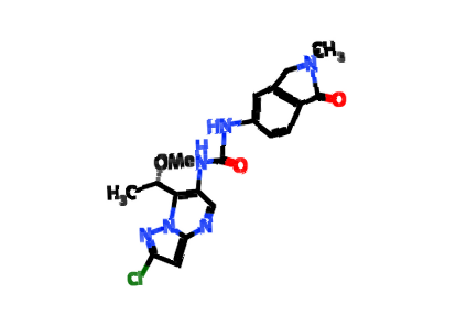 CO[C@@H](C)c1c(NC(=O)Nc2ccc3c(c2)CN(C)C3=O)cnc2cc(Cl)nn12